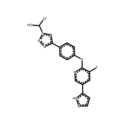 CCC(O)n1nnc(-c2ccc(Oc3ncc(-c4ccn[nH]4)cc3F)cc2)n1